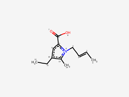 C/C=C/Cn1c(C(=O)O)cc(CC)c1C